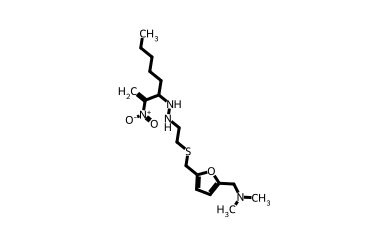 C=C(C(CCCCC)NNCCSCc1ccc(CN(C)C)o1)[N+](=O)[O-]